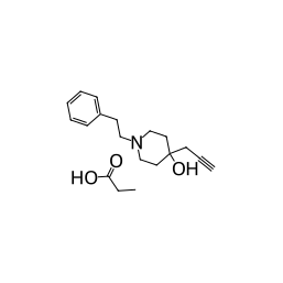 C#CCC1(O)CCN(CCc2ccccc2)CC1.CCC(=O)O